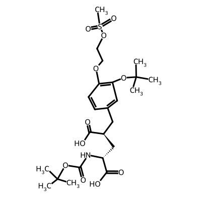 CC(C)(C)OC(=O)N[C@H](C[C@H](Cc1ccc(OCCOS(C)(=O)=O)c(OC(C)(C)C)c1)C(=O)O)C(=O)O